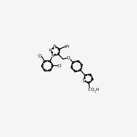 CC(C)c1nnn(-c2c(Cl)cccc2Cl)c1COc1ccc(-c2ccc(C(=O)O)s2)cc1